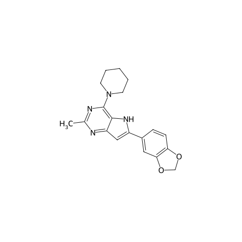 Cc1nc(N2CCCCC2)c2[nH]c(-c3ccc4c(c3)OCO4)cc2n1